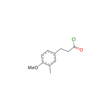 COc1ccc(CCC(=O)Cl)cc1C